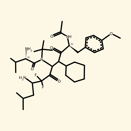 COc1ccc(C[C@H](NC(C)=O)C(=O)C(C2CCCCC2)C(C(=O)C(F)(F)C(N)CC(C)C)N(C(=O)[C@@H](N)C(C)C)C(C)(C)C)cc1